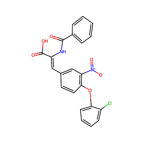 O=C(O)C(=Cc1ccc(Oc2ccccc2Cl)c([N+](=O)[O-])c1)NC(=O)c1ccccc1